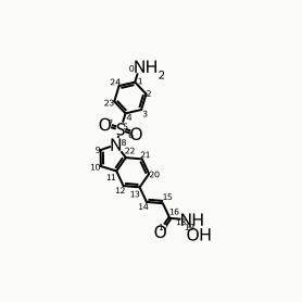 Nc1ccc(S(=O)(=O)n2ccc3cc(/C=C/C(=O)NO)ccc32)cc1